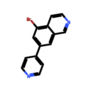 Brc1cc(-c2ccncc2)cc2cnccc12